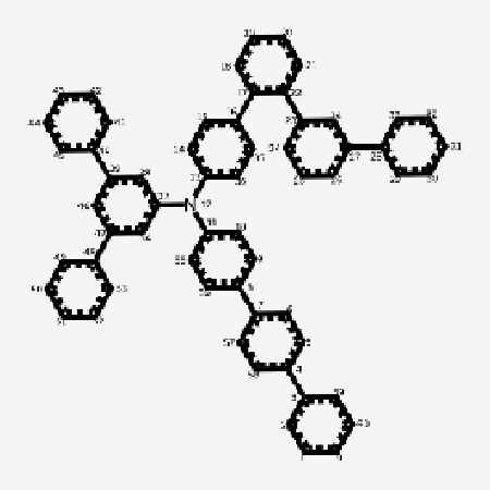 c1ccc(-c2ccc(-c3ccc(N(c4ccc(-c5ccccc5-c5cccc(-c6ccccc6)c5)cc4)c4cc(-c5ccccc5)cc(-c5ccccc5)c4)cc3)cc2)cc1